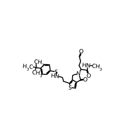 CNC(=O)C(CCC=O)N1Cc2c(csc2CCNSc2ccc(C(C)(C)C)cc2)C1=O